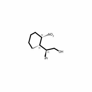 CC(C)[C@H](CO)[C@@H]1CCCC[C@@H]1[N+](=O)[O-]